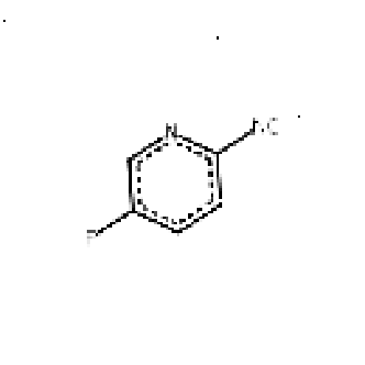 [C-]#[N+]c1ccc(F)cn1